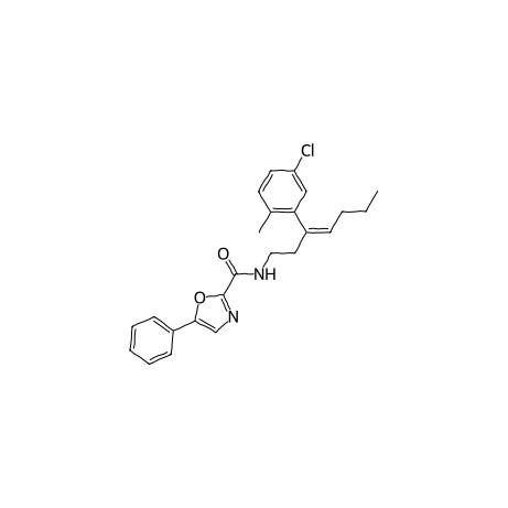 CCC/C=C(/CCNC(=O)c1ncc(-c2ccccc2)o1)c1cc(Cl)ccc1C